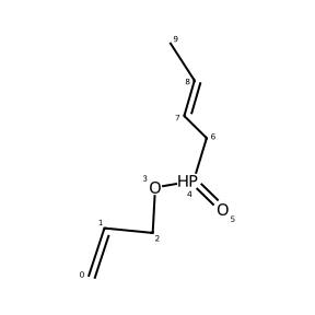 C=CCO[PH](=O)C/C=C/C